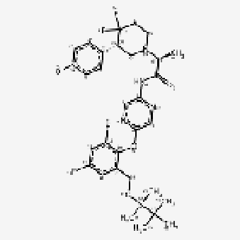 C[C@@H](C(=O)Nc1cnc(Oc2c(F)cc(F)cc2CO[Si](C)(C)C(C)(C)C)cn1)N1CCC(F)(F)[C@@H](c2cc[n+]([O-])cc2)C1